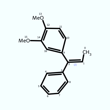 C/C=C(/c1ccccc1)c1ccc(OC)c(OC)c1